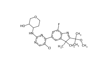 COC(C)(C)C1=Nc2c(F)cc(-c3nc(NC4CCOCC4O)ncc3Cl)cc2C1(C)C